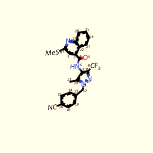 CSc1cc(C(=O)Nc2c(C(F)(F)F)nn(Cc3ccc(C#N)cc3)c2C)c2ccccc2n1